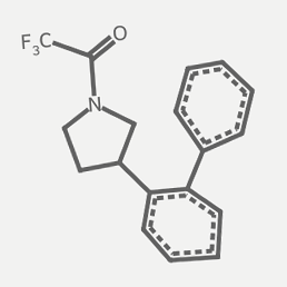 O=C(N1CCC(c2ccccc2-c2ccccc2)C1)C(F)(F)F